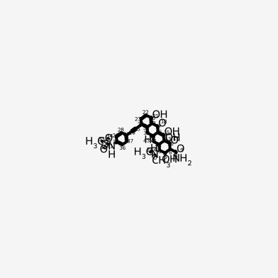 CN(C)[C@@H]1C(O)C(C(N)=O)C(=O)[C@@]2(O)C(O)=C3C(=O)c4c(O)ccc(C#Cc5ccc(NS(C)(=O)=O)cc5)c4C[C@H]3C[C@@H]12